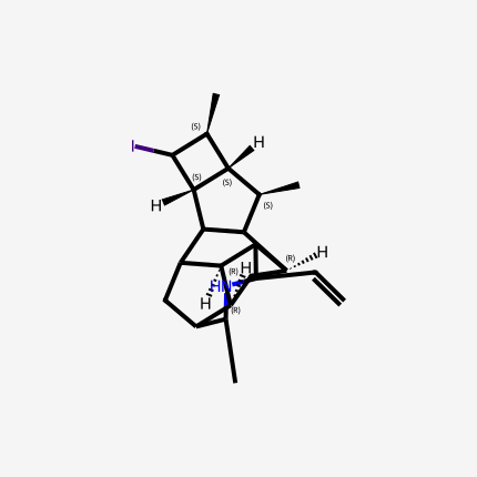 C=CC1NC(C)C2CC3C4C([C@H]5C[C@@H]2[C@@H]3C15)[C@H](C)[C@@H]1[C@H]4C(I)[C@H]1C